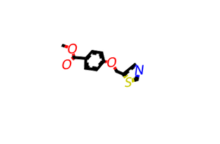 COC(=O)c1ccc(OCc2cncs2)cc1